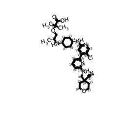 C[C@H](COC(C)(C)C(=O)O)N[C@H]1CC[C@H](Nc2cc(-c3cccc(NCC4(C#N)CCOCC4)n3)c(Cl)cn2)CC1